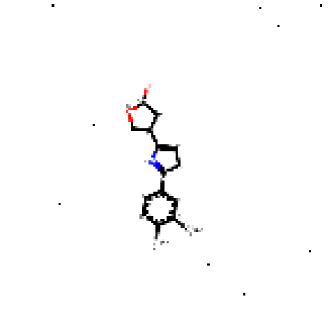 COc1ccc(C2=NC(C3COB(O)C3)=CC2)cc1OC